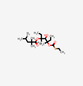 CCSC(=O)OC(C)(CC)C(O)C(C)(CC)OC(=O)C(C)(C)CC(C)C